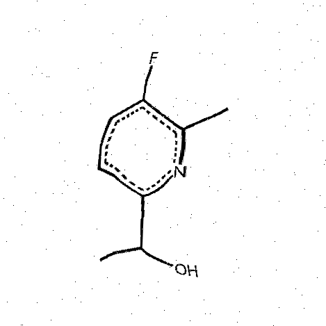 Cc1nc(C(C)O)ccc1F